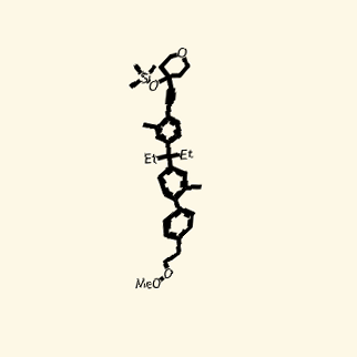 CCC(CC)(c1ccc(C#CC2(O[Si](C)(C)C)CCOCC2)c(C)c1)c1ccc(-c2ccc(CCOOC)cc2)c(C)c1